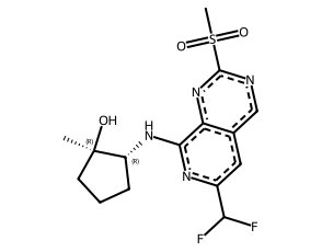 C[C@@]1(O)CCC[C@H]1Nc1nc(C(F)F)cc2cnc(S(C)(=O)=O)nc12